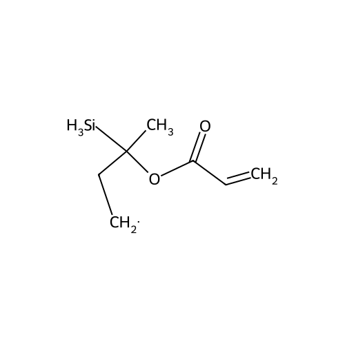 [CH2]CC(C)([SiH3])OC(=O)C=C